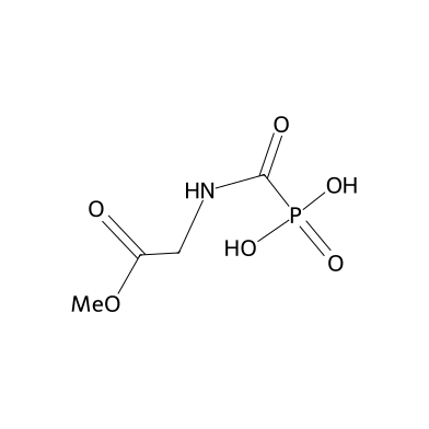 COC(=O)CNC(=O)P(=O)(O)O